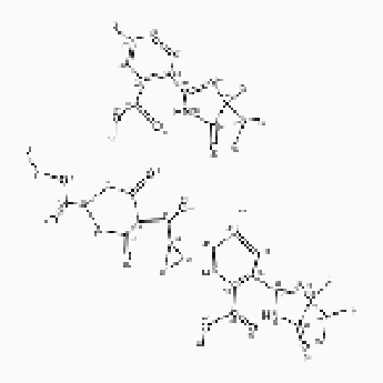 CCOC(=O)C1CC(=O)C(=C(O)C2CC2)C(=O)C1.COC(=O)c1cc(C)ccc1C1=NC(C)(C(C)C)C(=O)N1.COC(=O)c1ccc(C)cc1C1=NC(C)(C(C)C)C(=O)N1